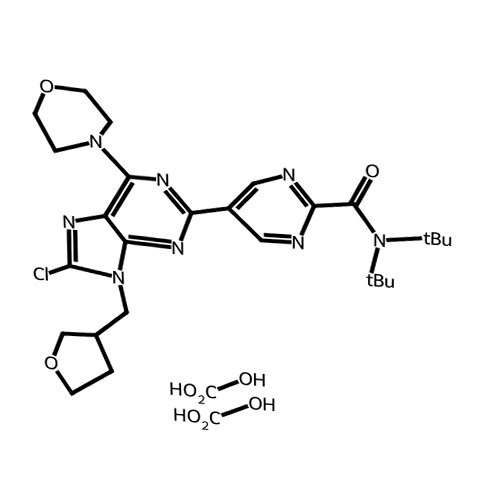 CC(C)(C)N(C(=O)c1ncc(-c2nc(N3CCOCC3)c3nc(Cl)n(CC4CCOC4)c3n2)cn1)C(C)(C)C.O=C(O)O.O=C(O)O